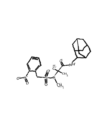 CN(C(C)(C)C(=O)NC1C2CC3CC(C2)CC1C3)S(=O)(=O)Cc1ccccc1[N+](=O)[O-]